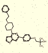 CC(C)(O)COc1ccc(-c2cc3sccc3c(N3CCN(CCc4ccccc4)CC3)n2)cc1